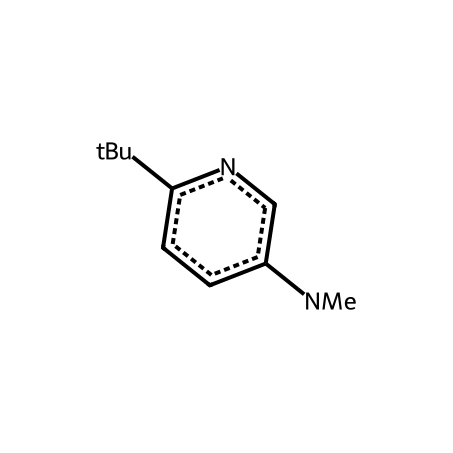 CNc1ccc(C(C)(C)C)nc1